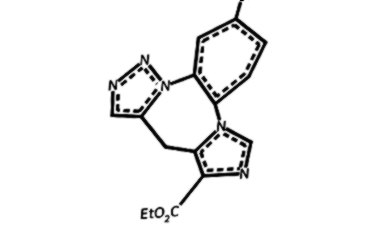 CCOC(=O)c1ncn2c1Cc1cnnn1-c1cc(OC)ccc1-2